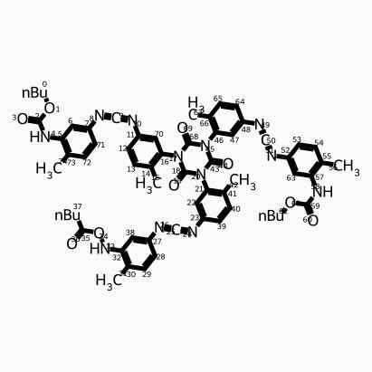 CCCCOC(=O)Nc1cc(N=C=Nc2ccc(C)c(-n3c(=O)n(-c4cc(N=C=Nc5ccc(C)c(NOC(=O)CCCC)c5)ccc4C)c(=O)n(-c4cc(N=C=Nc5ccc(C)c(NC(=O)OCCCC)c5)ccc4C)c3=O)c2)ccc1C